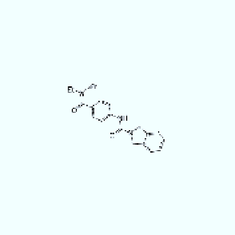 CCN(C(=O)c1ccc(NC(=O)N2Cc3ccccc3C2)cc1)C(C)C